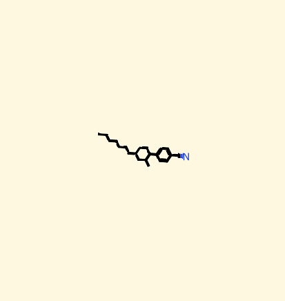 CCCCCCCC1CCC(c2ccc(C#N)cc2)C(C)C1